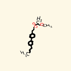 CCCCc1ccc(-c2ccc(CCCOC(=O)C(C)COC)cc2)cc1